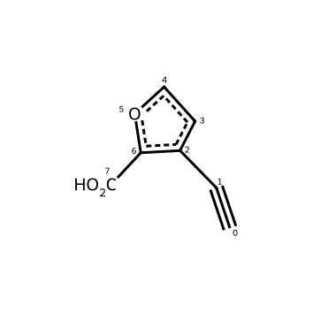 C#Cc1ccoc1C(=O)O